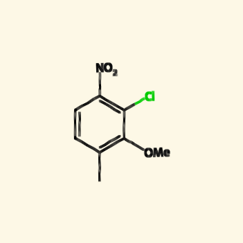 COc1c(C)ccc([N+](=O)[O-])c1Cl